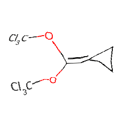 ClC(Cl)(Cl)OC(OC(Cl)(Cl)Cl)=C1CC1